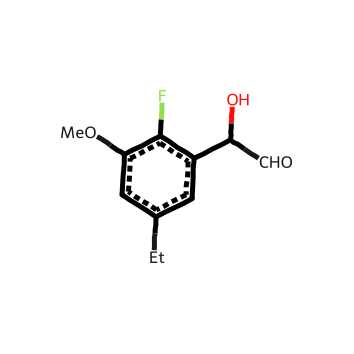 CCc1cc(OC)c(F)c(C(O)C=O)c1